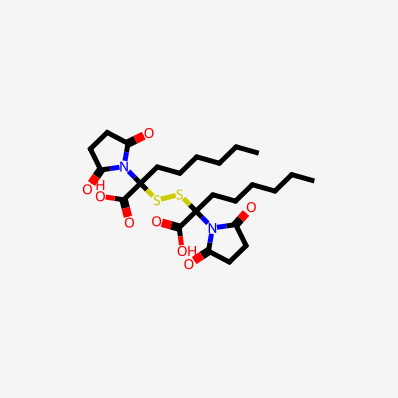 CCCCCCC(SSC(CCCCCC)(C(=O)O)N1C(=O)CCC1=O)(C(=O)O)N1C(=O)CCC1=O